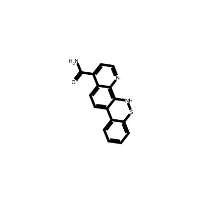 NC(=O)c1ccnc2c3c(ccc12)-c1ccccc1SN3